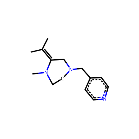 CC(C)=C1CN(Cc2ccncc2)CCN1C